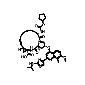 COc1ccc2c(O[C@@H]3C[C@H]4C(=O)N[C@]5(C(=O)O)C[C@@H]5/C=C\CCCCC[C@H](NC(=O)OC5CCCC5)C(=O)N4C3)cc(-c3csc(NC(C)C)n3)nc2c1C